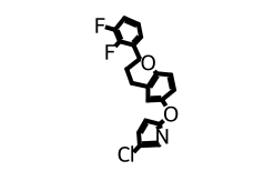 Fc1cccc(C2CCc3cc(Oc4ccc(Cl)cn4)ccc3O2)c1F